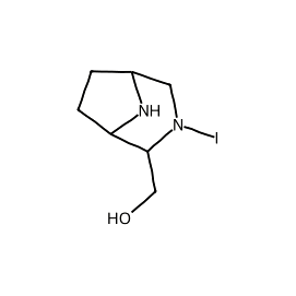 OCC1C2CCC(CN1I)N2